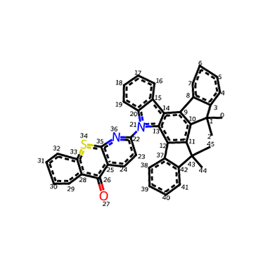 CC1(C)c2ccccc2-c2c1c1c(c3c2c2ccccc2n3-c2ccc3c(=O)c4ccccc4sc3n2)-c2ccccc2C1(C)C